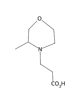 CC1COCCN1CCC(=O)O